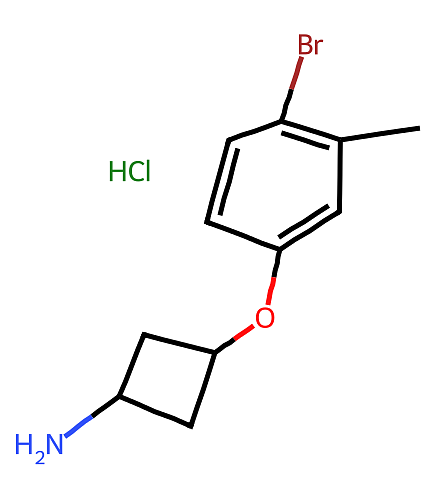 Cc1cc(OC2CC(N)C2)ccc1Br.Cl